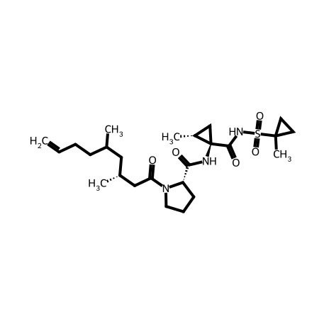 C=CCCC(C)C[C@@H](C)CC(=O)N1CCC[C@H]1C(=O)N[C@]1(C(=O)NS(=O)(=O)C2(C)CC2)C[C@H]1C